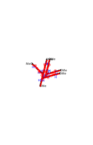 COCCCCCCNC(=O)CC(CCC(=O)NC(CCC(=O)NCCOCCOCC(=O)NCCCCCOC)CC(=O)NCC(=O)COCCOCCNC(=O)CCCCOC)NC(=O)CC(CCC(=O)NCCOCCOCC(=O)NCCCCCOC)NC(=O)CC(CCC(=O)NCCOCCOCC(=O)NCCCCCOC)NC(=O)CNCCOCCOCC(=O)NCCCCCOC